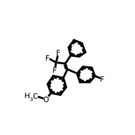 COc1ccc(C(=C(c2ccccc2)C(F)(F)F)c2ccc(F)cc2)cc1